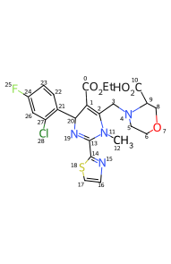 CCOC(=O)C1=C(CN2CCOCC2C(=O)O)N(C)C(c2nccs2)=NC1c1ccc(F)cc1Cl